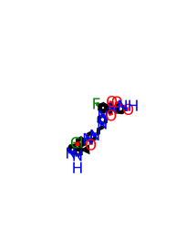 O=C1CCC(N2C(=O)c3cc(F)cc(N4CCN(CCCN5CCN(c6cccc(C7(C8CC8)CNc8nccc(Cl)c87)c6)C(=O)C5)CC4)c3C2=O)C(=O)N1